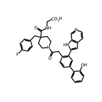 O=C(O)CNC(=O)C1(Cc2ccc(F)cc2)CCN(C(=O)Cc2ccc(-c3ccccc3O)cc2-c2cc3ccncc3[nH]2)CC1